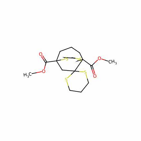 COC(=O)C12CCCC(C(=O)OC)(CSCCCS1)C1(C2)SCCCS1